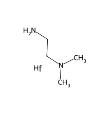 CN(C)CCN.[Hf]